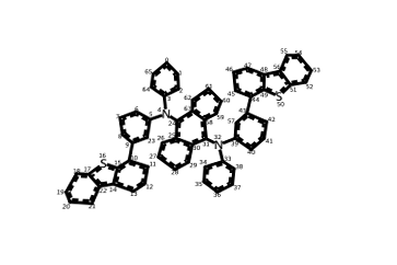 c1ccc(N(c2cccc(-c3cccc4c3sc3ccccc34)c2)c2c3ccccc3c(N(c3ccccc3)c3cccc(-c4cccc5c4sc4ccccc45)c3)c3ccccc23)cc1